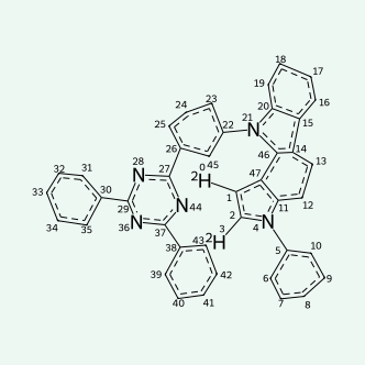 [2H]c1c([2H])n(-c2ccccc2)c2ccc3c4ccccc4n(-c4cccc(-c5nc(-c6ccccc6)nc(-c6ccccc6)n5)c4)c3c12